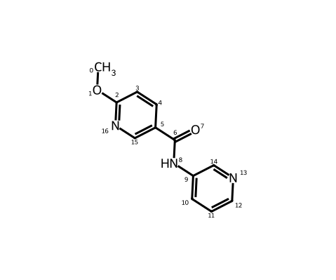 COc1ccc(C(=O)Nc2cccnc2)cn1